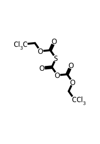 O=C(OCC(Cl)(Cl)Cl)OC(=O)SC(=O)OCC(Cl)(Cl)Cl